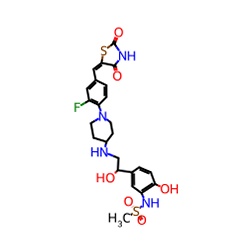 CS(=O)(=O)Nc1cc(C(O)CNC2CCN(c3ccc(C=C4SC(=O)NC4=O)cc3F)CC2)ccc1O